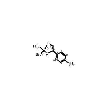 CC(C)(C)[Si](C)(C)OC(CF)c1ccc(N)cn1